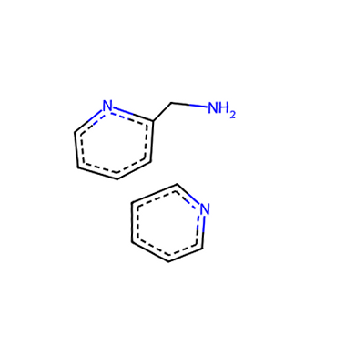 NCc1ccccn1.c1ccncc1